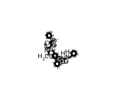 CSc1nc(C(C)C)n(Cc2ccc(-c3ccccc3S(=O)(=O)NC(=O)NCc3ccccc3)cc2)c1C(=O)C[S+]([O-])c1ccccc1